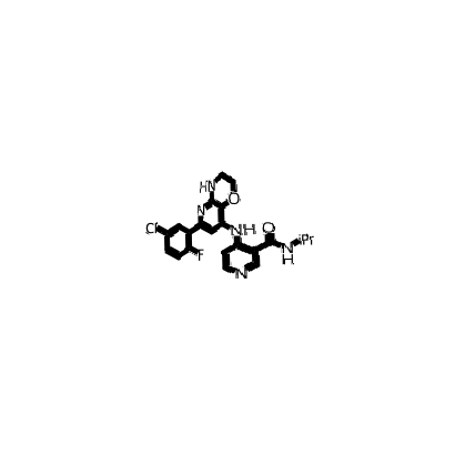 CC(C)NC(=O)c1cnccc1Nc1cc(-c2cc(Cl)ccc2F)nc2c1OCCN2